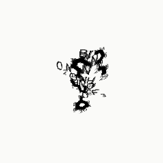 C=CCCC(OCc1ccccc1)(C(=O)NNC(=O)c1nc(N2CCC[C@H]2CC=C)c(Br)cc1[N+](=O)[O-])C(F)(F)F